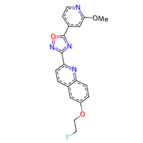 COc1cc(-c2nc(-c3ccc4cc(OCCF)ccc4n3)no2)ccn1